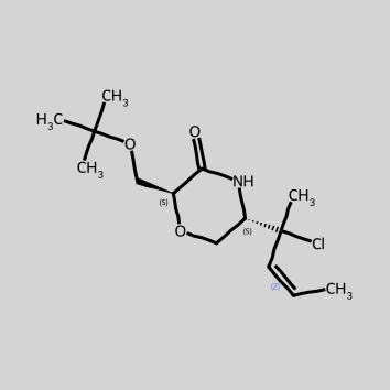 C/C=C\C(C)(Cl)[C@@H]1CO[C@@H](COC(C)(C)C)C(=O)N1